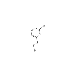 CCSSc1cccc(C(C)C)c1